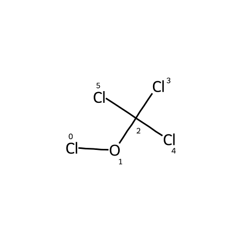 ClOC(Cl)(Cl)Cl